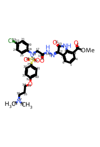 COC(=O)c1cccc2c1NC(=O)/C2=N\NC(=O)CN(c1ccc(Cl)cc1)S(=O)(=O)c1ccc(OCCCN(C)C)cc1